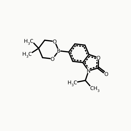 CC(C)n1c(=O)oc2ccc(B3OCC(C)(C)CO3)cc21